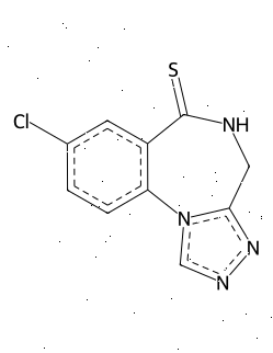 S=C1NCc2nncn2-c2ccc(Cl)cc21